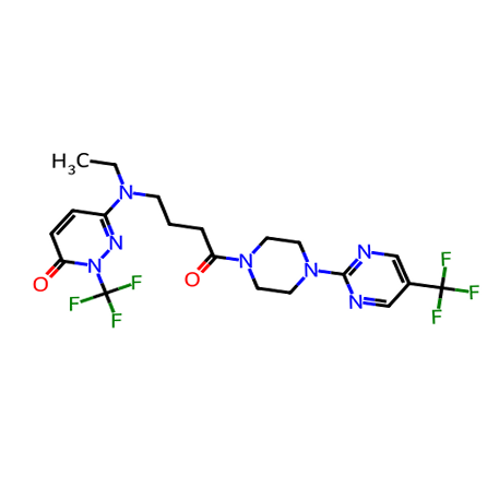 CCN(CCCC(=O)N1CCN(c2ncc(C(F)(F)F)cn2)CC1)c1ccc(=O)n(C(F)(F)F)n1